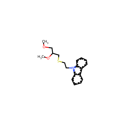 COCC(CSCCn1c2ccccc2c2ccccc21)OC